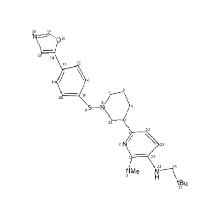 CNc1nc(C2CCCN(Sc3ccc(-c4cnco4)cc3)C2)ccc1NCC(C)(C)C